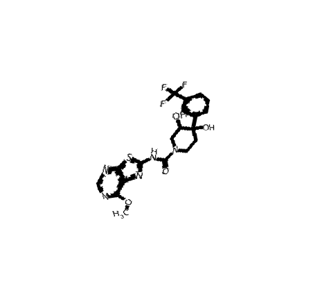 COc1ncnc2sc(NC(=O)N3CCC(O)(c4cccc(C(F)(F)F)c4)C(O)C3)nc12